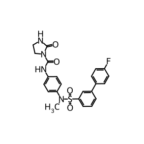 CN(c1ccc(NC(=O)N2CCNC2=O)cc1)S(=O)(=O)c1cccc(-c2ccc(F)cc2)c1